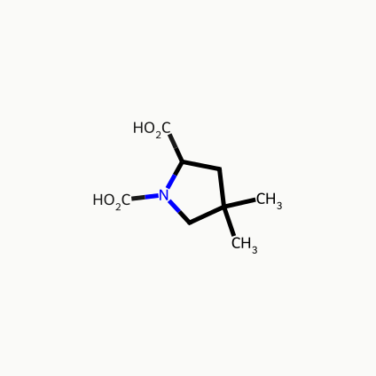 CC1(C)CC(C(=O)O)N(C(=O)O)C1